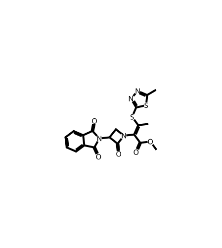 COC(=O)C(=C(C)Sc1nnc(C)s1)N1CC(N2C(=O)c3ccccc3C2=O)C1=O